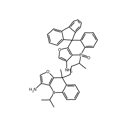 CC(C)B1c2ccccc2C(C)(CCC(C)P2(=O)c3ccccc3C3(c4ccccc4-c4ccccc43)c3occ(N)c32)c2occ(N)c21